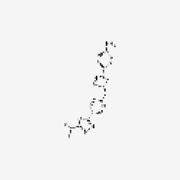 Nc1ccc(-c2cn(Cc3ccc(-c4nnc(C(F)F)o4)cn3)nn2)cn1